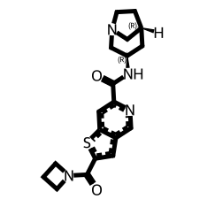 O=C(N[C@@H]1C[C@H]2CCN(C2)C1)c1cc2sc(C(=O)N3CCC3)cc2cn1